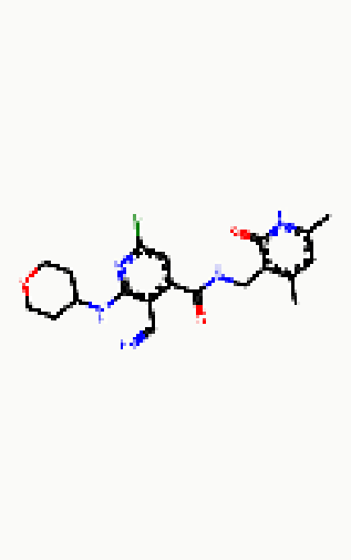 Cc1cc(C)c(CNC(=O)c2cc(Br)nc(NC3CCOCC3)c2C=N)c(=O)[nH]1